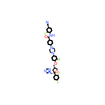 N#Cc1ccc(NC(=O)c2ccc(N3CCN(c4ccc(OC[C@H]5CO[C@@](Cn6cncn6)(c6ccc(F)cc6F)C5)c(F)c4)CC3)cc2)c(F)c1